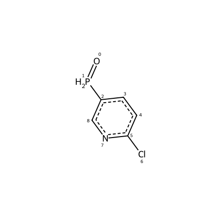 O=[PH2]c1ccc(Cl)nc1